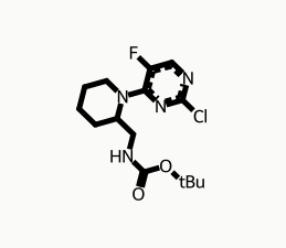 CC(C)(C)OC(=O)NCC1CCCCN1c1nc(Cl)ncc1F